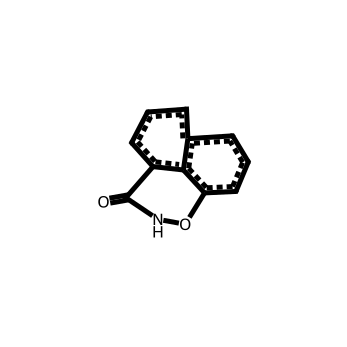 O=C1NOc2cccc3cccc1c23